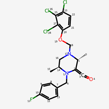 C[C@@H]1C(=C=O)N(Cc2ccc(F)cc2)[C@@H](C)CN1COc1ccc(Cl)c(Cl)c1Cl